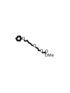 COC(=O)COCCCOCCCCCOc1ccccc1